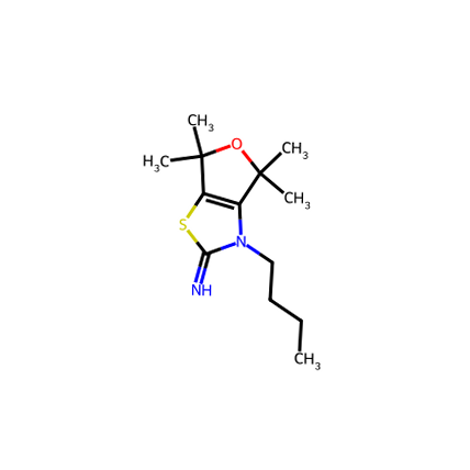 CCCCn1c2c(sc1=N)C(C)(C)OC2(C)C